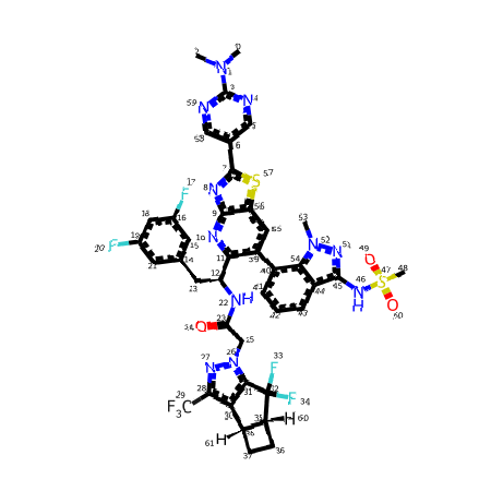 CN(C)c1ncc(-c2nc3nc([C@H](Cc4cc(F)cc(F)c4)NC(=O)Cn4nc(C(F)(F)F)c5c4C(F)(F)[C@@H]4CC[C@H]54)c(-c4cccc5c(NS(C)(=O)=O)nn(C)c45)cc3s2)cn1